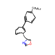 COc1ccc(-c2cccc(-c3cocn3)c2)cc1